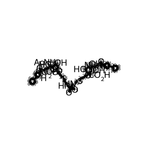 CC(=O)N[C@H]1C([C@H](O)[C@H](O)CNC(=O)c2ccc(-c3ccccc3)cc2)O[C@@](OCCCSCCNc2c(NCCSCCCO[C@]3(C(=O)O)C[C@H](O)[C@@H](NC(C)=O)C([C@H](O)[C@H](O)CNC(=O)c4ccc(-c5ccccc5)cc4)O3)c(=O)c2=O)(C(=O)O)C[C@@H]1O